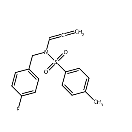 C=C=CN(Cc1ccc(F)cc1)S(=O)(=O)c1ccc(C)cc1